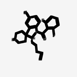 C=CCCC[C@H]1N(C(=O)c2c(F)cccc2F)c2ccc(Cl)cc2C12CCNCC2